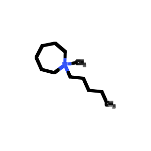 CCCCC[N+]1(C)CCCCCC1